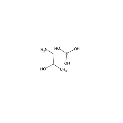 CC(O)CN.OB(O)O